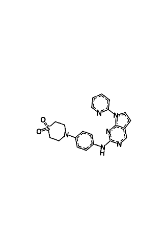 O=S1(=O)CCN(c2ccc(Nc3ncc4ccn(-c5ccccn5)c4n3)cc2)CC1